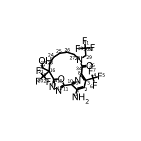 Nc1cc(C(F)(F)F)c2nc1-c1nnc(o1)C(CO)(C(F)(F)F)CCCCCN(CC(F)(F)F)C2=O